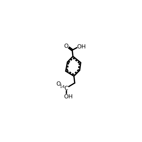 O=C(O)c1ccc(C[14C](=O)O)cc1